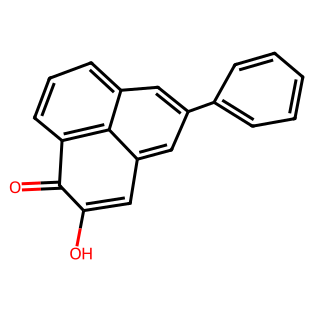 O=C1C(O)=Cc2cc(-c3ccccc3)cc3cccc1c23